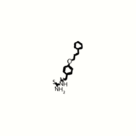 NC(=S)NN=Cc1ccc(OC/C=C/c2ccccc2)cc1